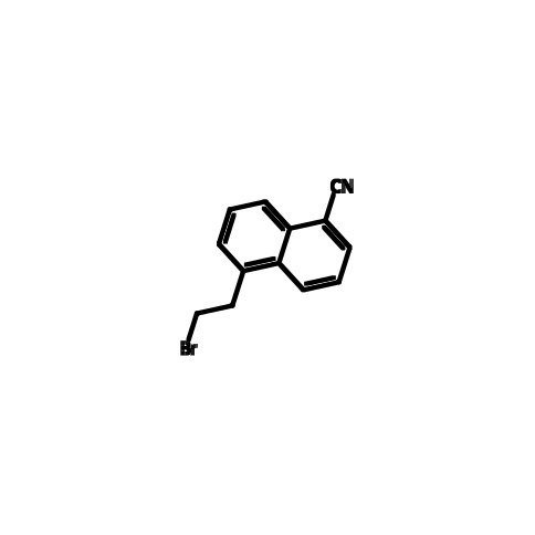 N#Cc1cccc2c(CCBr)cccc12